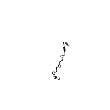 CC(C)(C)C#CCOCCOCCOC(C)(C)C